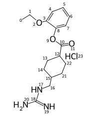 CCOc1ccccc1OC(=O)C1CCC(CNC(=N)N)CC1.Cl